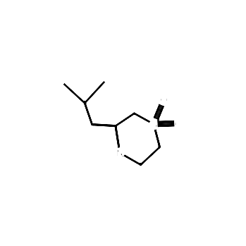 CC(C)CC1CS(=O)(=O)CCN1